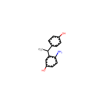 Nc1ccc(O)cc1C(c1ccc(O)cc1)C(Cl)(Cl)Cl